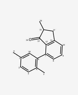 Cc1ccc(C)c(-c2cccc3c2C(=O)C(C)C3)c1